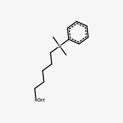 [CH2]CCCCCCCCCCCC[Si](C)(C)c1ccccc1